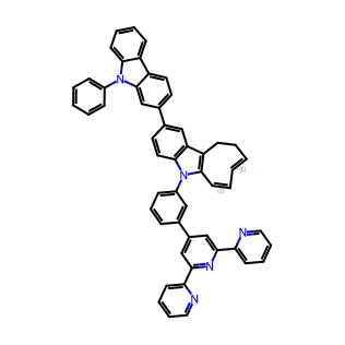 C1=C\c2c(c3cc(-c4ccc5c6ccccc6n(-c6ccccc6)c5c4)ccc3n2-c2cccc(-c3cc(-c4ccccn4)nc(-c4ccccn4)c3)c2)CC/C=C/1